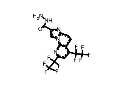 NNC(=O)c1cn2c(ccc3c(C(F)(F)C(F)(F)F)cc(C(F)(F)C(F)(F)F)nc32)n1